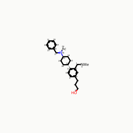 CNCc1cc(CCCO)ccc1[C@H]1CC[C@H](N(Cc2ccccc2)C(C)=O)CC1